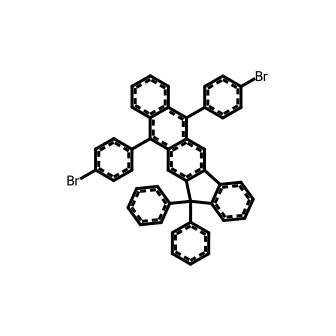 Brc1ccc(-c2c3ccccc3c(-c3ccc(Br)cc3)c3cc4c(cc23)-c2ccccc2C4(c2ccccc2)c2ccccc2)cc1